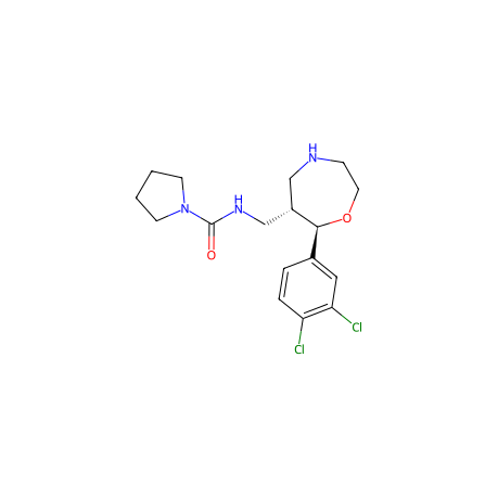 O=C(NC[C@@H]1CNCCO[C@H]1c1ccc(Cl)c(Cl)c1)N1CCCC1